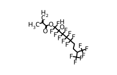 C=C(C)C(=O)OC(F)(F)C(O)(F)C(F)(F)C(F)(F)C(F)(F)CCC(C(F)(F)F)C(F)(F)F